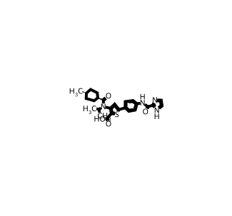 CC(C)N(c1cc(-c2ccc(NC(=O)c3ncc[nH]3)cc2)sc1C(=O)O)C(=O)[C@H]1CC[C@H](C)CC1